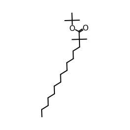 CCCCCCCCCCCCCC(C)(C)C(=O)OC(C)(C)C